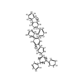 c1ccc(-c2nc(-c3ccccc3)nc(-c3ccc4c(c3)oc3ccc(-c5cccc(-c6ccc7c(c6)oc6ccccc67)c5-c5ccccc5)cc34)n2)cc1